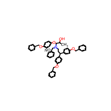 CC(O)C(Oc1ccc(OCc2ccccc2)c([N+](=O)[O-])c1)N(CCC(c1ccc(OCc2ccccc2)cc1)c1ccc(OCc2ccccc2)cc1)Cc1ccccc1